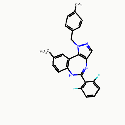 COc1ccc(Cn2ncc3c2-c2cc(C(=O)O)ccc2NC(c2c(F)cccc2F)=N3)cc1